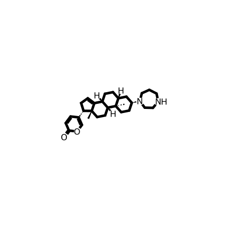 C[C@@]12CC[C@@H](N3CCCNCC3)C[C@H]1CC[C@H]1C3=CC[C@@H](c4ccc(=O)oc4)[C@@]3(C)CC[C@H]12